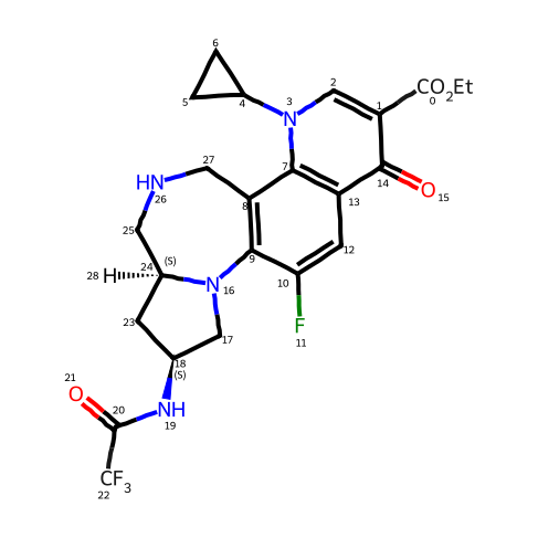 CCOC(=O)c1cn(C2CC2)c2c3c(c(F)cc2c1=O)N1C[C@@H](NC(=O)C(F)(F)F)C[C@H]1CNC3